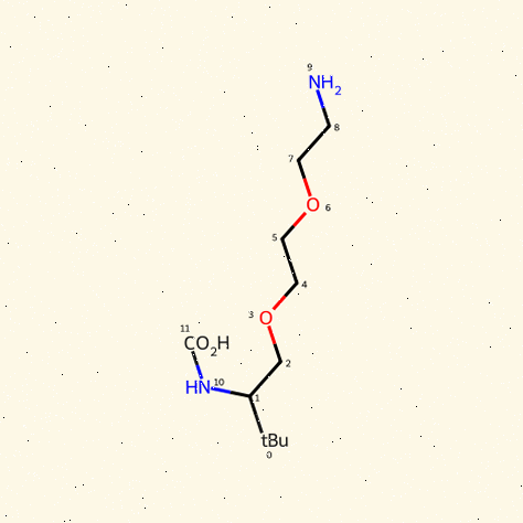 CC(C)(C)C(COCCOCCN)NC(=O)O